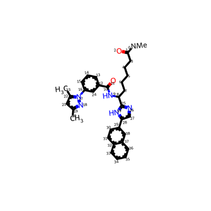 CNC(=O)CCCCCC(NC(=O)c1cccc(-n2nc(C)cc2C)c1)c1ncc(-c2ccc3ccccc3c2)[nH]1